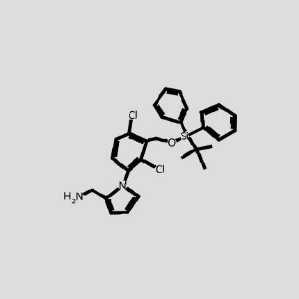 CC(C)(C)[Si](OCc1c(Cl)ccc(-n2cccc2CN)c1Cl)(c1ccccc1)c1ccccc1